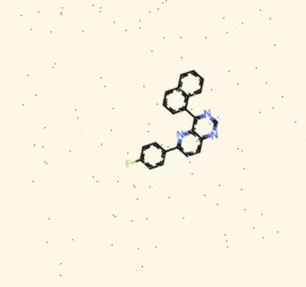 Fc1ccc(-c2ccc3ncnc(-c4cccc5ccccc45)c3n2)cc1